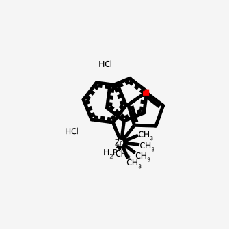 Cl.Cl.[CH3][Zr]([CH3])([CH3])([CH3])([CH3])([PH2])([C]1=CC=CC1)([c]1ccccc1)[c]1ccccc1